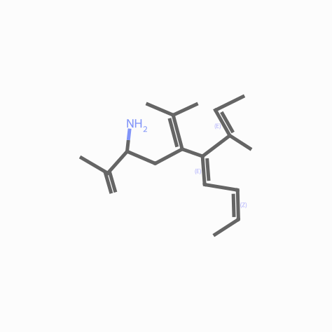 C=C(C)C(N)CC(=C(C)C)C(=C/C=C\C)/C(C)=C/C